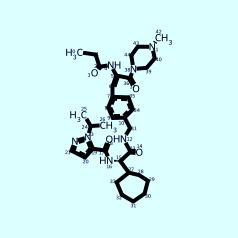 CCC(=O)N/C(=C/c1ccc(CNC(=O)[C@@H](NC(=O)c2ccnn2C(C)C)C2CCCCCC2)cc1)C(=O)N1CCN(C)CC1